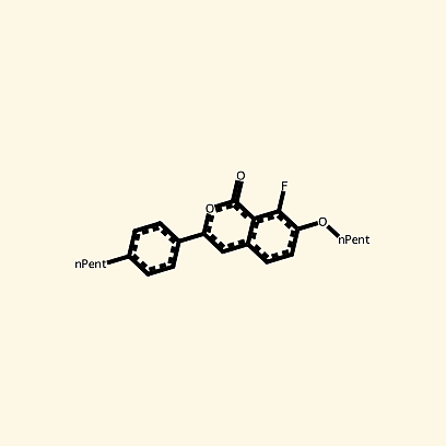 CCCCCOc1ccc2cc(-c3ccc(CCCCC)cc3)oc(=O)c2c1F